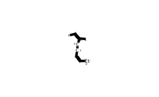 C[CH]/C=C\CC/C(C)=C\C